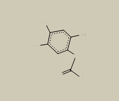 CCC(=O)Oc1cc(C(C)(C)C)c(C)cc1O